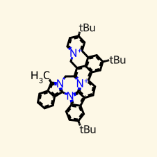 Cc1c2ccccc2c2n1Cc1c3c4c(cc(C(C)(C)C)cc4c4ccc5c6cc(C(C)(C)C)ccc6n-2c5[n+]14)-c1cc(C(C)(C)C)cc[n+]1C3